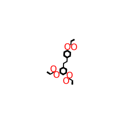 C=CC(=O)Oc1ccc(CCc2cc(OC(=O)C=C)cc(OC(=O)C=C)c2)cc1